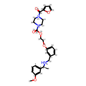 COc1cccc([C@H](C)NCc2cccc(OCCOC(=O)N3CCN(C(=O)c4ccco4)CC3)c2)c1